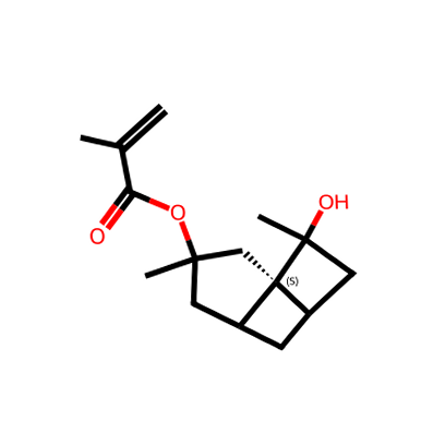 C=C(C)C(=O)OC1(C)CC2CC3CC(C)(O)[C@]23C1